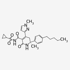 CCCCCc1ccc([C@]2(C)CC(c3ccn(C)n3)=C(C(=O)NS(=O)(=O)C3CC3)C(=O)N2)cc1